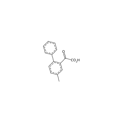 Cc1ccc(-c2ccccc2)c(C(=O)C(=O)O)c1